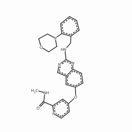 CNC(=O)c1cc(Oc2ccc3nc(NCc4ccccc4N4CCOCC4)ncc3c2)ccn1